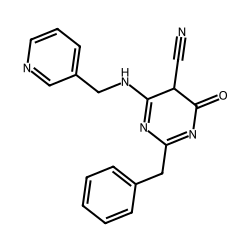 N#CC1C(=O)N=C(Cc2ccccc2)N=C1NCc1cccnc1